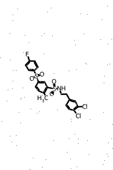 Cc1ccc(S(=O)(=O)c2ccc(F)cc2)cc1S(=O)(=O)NCCc1ccc(Cl)c(Cl)c1